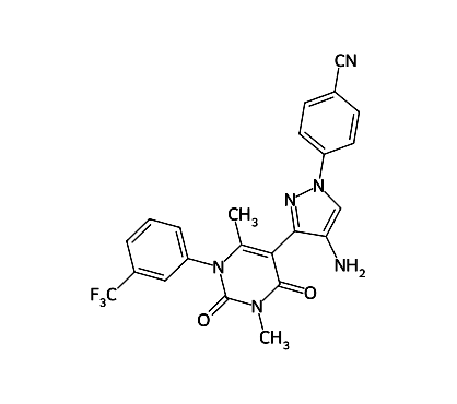 Cc1c(-c2nn(-c3ccc(C#N)cc3)cc2N)c(=O)n(C)c(=O)n1-c1cccc(C(F)(F)F)c1